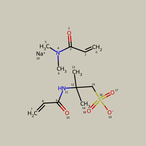 C=CC(=O)N(C)C.C=CC(=O)NC(C)(C)CS(=O)(=O)[O-].[Na+]